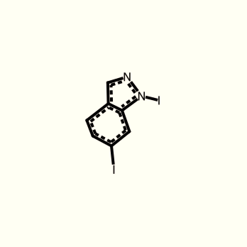 Ic1ccc2cnn(I)c2c1